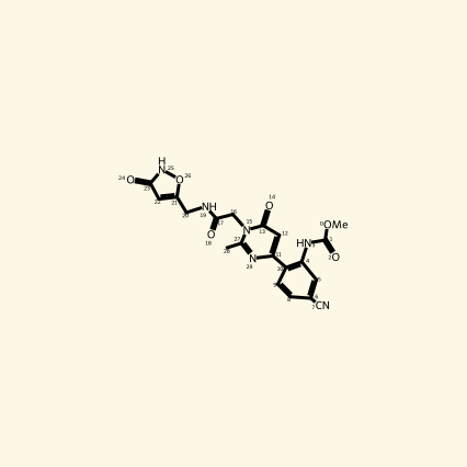 COC(=O)Nc1cc(C#N)ccc1-c1cc(=O)n(CC(=O)NCc2cc(=O)[nH]o2)c(C)n1